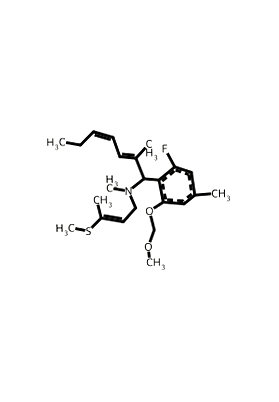 CC/C=C\C=C(/C)C(c1c(F)cc(C)cc1OCOC)N(C)C/C=C(\C)SC